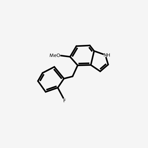 COc1ccc2[nH]ccc2c1Cc1ccccc1F